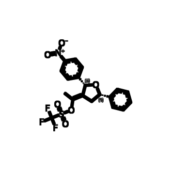 CC(OS(=O)(=O)C(F)(F)F)=C1C[C@@H](c2ccccc2)O[C@H]1c1ccc([N+](=O)[O-])cc1